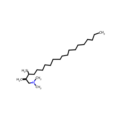 C=C(CN(C)C)C([SiH3])CCCCCCCCCCCCCCCCC